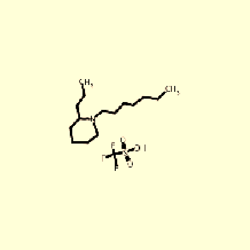 CCCCCCCN1CCCCC1CCC.O=S(=O)(O)C(F)(F)F